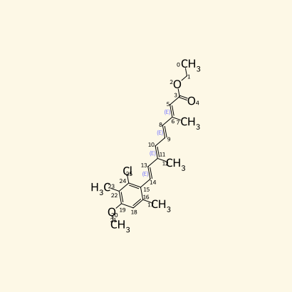 CCOC(=O)/C=C(C)/C=C/C=C(C)/C=C/c1c(C)cc(OC)c(C)c1Cl